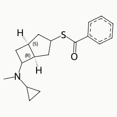 CN(C1CC1)C1C[C@H]2CC(SC(=O)c3ccccc3)C[C@@H]12